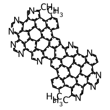 Cc1ncc2c3ncnc4c5ccnc6c7cnc8c9cc%10c%11ccc(C)c%12c%13c(C)ncc%14c%15ncnc%16c%17ncnc%18c%19cnc%20c%21cc%22c%23ccc(C)c%24c1c2c1c(c43)c(c56)c2c7c8c(c%21c9c3c%10c4c(c%11%12)c(c%14%13)c(c%15%16)c(c%18%17)c4c%19c%203)c%22c2c1c%23%24